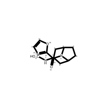 O=C(O)NC1CC2CCC(C1)N2C(=O)c1ncco1